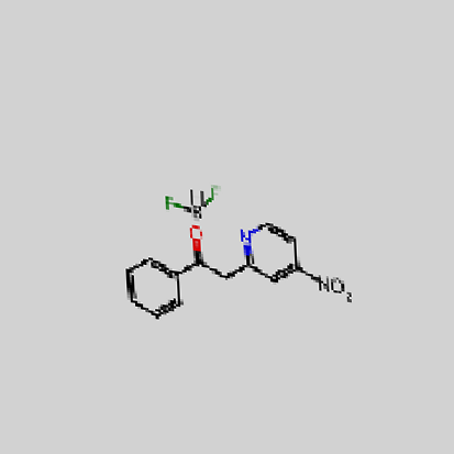 FBF.O=C(Cc1cc([N+](=O)[O-])ccn1)c1ccccc1